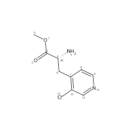 COC(=O)[C@H](N)Cc1ccncc1Cl